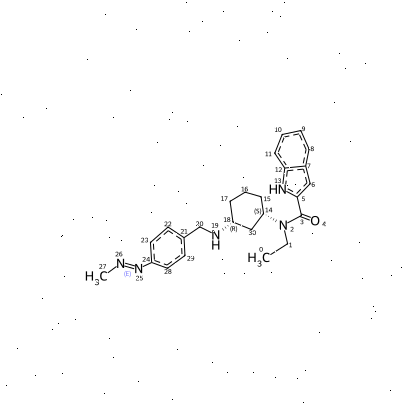 CCN(C(=O)c1cc2ccccc2[nH]1)[C@H]1CCC[C@@H](NCc2ccc(/N=N/C)cc2)C1